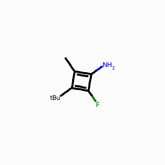 CC1=C(N)C(F)=C1C(C)(C)C